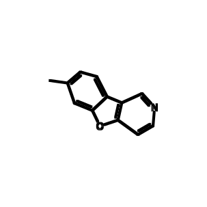 Cc1ccc2c(c1)oc1ccncc12